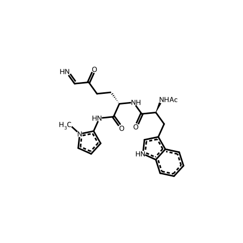 CC(=O)N[C@@H](Cc1c[nH]c2ccccc12)C(=O)N[C@@H](CCC(=O)C=N)C(=O)Nc1cccn1C